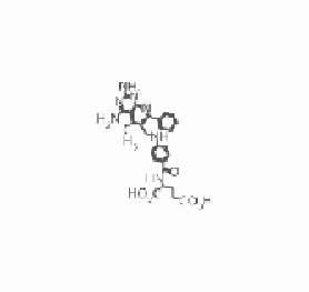 Cc1c(CNc2ccc(C(=O)N[C@@H](CCC(=O)O)C(=O)O)cc2)c(-c2ccccc2)nc2nc(N)nc(N)c12